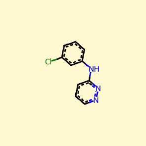 Clc1cccc(Nc2cccnn2)c1